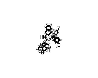 COc1ccc(S(=O)(=O)N(CC(C)C)C[C@@H](O)[C@H](Cc2ccccc2)NC(=O)O[C@H]2CO[C@H]3C[C@@H]4OCC[C@@H]4[C@H]32)cc1